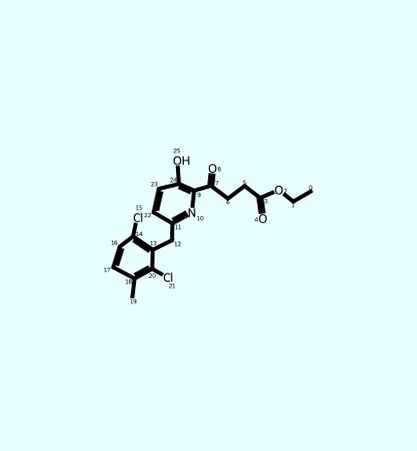 CCOC(=O)CCC(=O)c1nc(Cc2c(Cl)ccc(C)c2Cl)ccc1O